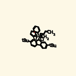 C=CC[CH2][Hf](=[CH2])([Cl])([Cl])([c]1ccccc1)([CH]1C=CC=C1)[CH]1c2cc(C(C)(C)C)ccc2-c2ccc(C(C)(C)C)cc21